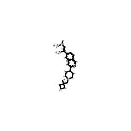 CN(N)/C=C(\N)c1ccc2cnc(C3CCN(CC4(C)CCC4)CC3)cc2c1